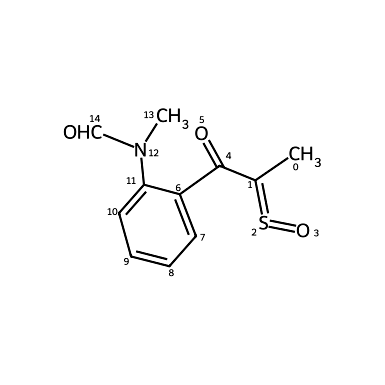 CC(=S=O)C(=O)c1ccccc1N(C)C=O